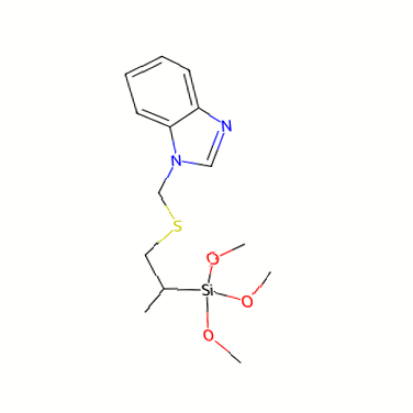 CO[Si](OC)(OC)C(C)CSCn1cnc2ccccc21